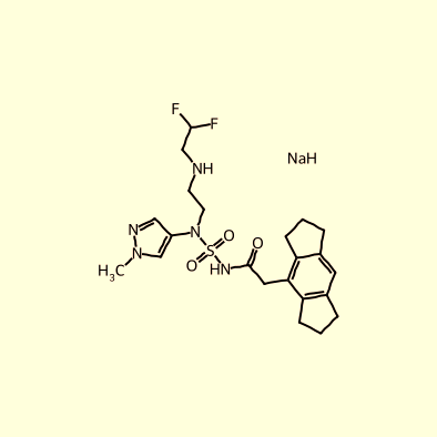 Cn1cc(N(CCNCC(F)F)S(=O)(=O)NC(=O)Cc2c3c(cc4c2CCC4)CCC3)cn1.[NaH]